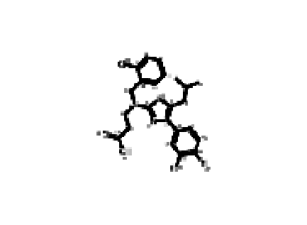 CC(C)Cc1sc(N(CCC(=O)O)Cc2ccccc2Cl)nc1-c1ccc(Cl)c(Cl)c1